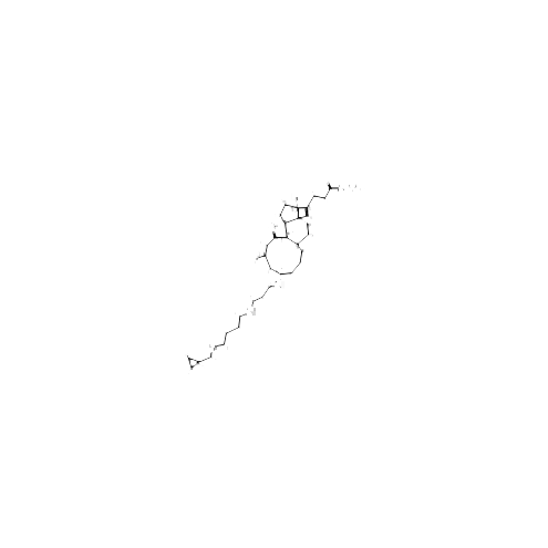 CNC(=O)CCC1=C[C@]23CCC4CCC[C@H](NCCCNCCCCNCC5CC5)CC(C)CC(=O)C4C2CC[C@H]13